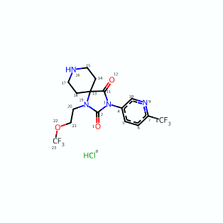 Cl.O=C1N(c2ccc(C(F)(F)F)nc2)C(=O)C2(CCNCC2)N1CCOC(F)(F)F